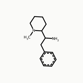 CN1CCCCC1C(N)Cc1ccccc1